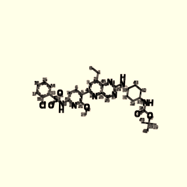 CCc1cc(-c2ccc(NS(=O)(=O)c3ccccc3Cl)nc2OC)nc2cnc(N[C@H]3CC[C@H](NC(=O)OC(C)(C)C)CC3)nc12